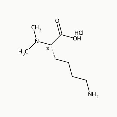 CN(C)[C@@H](CCCCN)C(=O)O.Cl